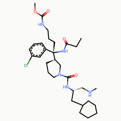 CCC(=O)N[C@@](CCCNC(=O)OC)(c1cccc(Cl)c1)[C@@H]1CCCN(C(=O)N[C@H](CNC)CC2CCCCC2)C1